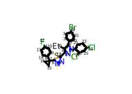 CCc1c(-c2nnc(C3(c4ccc(F)cc4)CC3)s2)nn(-c2ccc(Cl)cc2Cl)c1-c1ccc(Br)cc1